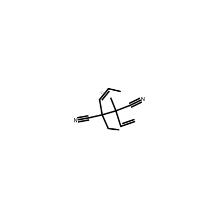 C=CC(C)(C#N)C(C#N)(/C=C\C)CC